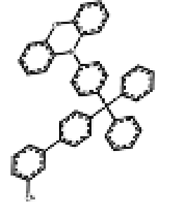 N#Cc1cccc(-c2ccc(C(c3ccccc3)(c3ccccc3)c3ccc(N4c5ccccc5Oc5ccccc54)cc3)cc2)c1